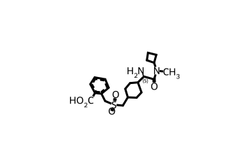 CN(C(=O)[C@@H](N)C1CCC(CS(=O)(=O)Cc2ccccc2C(=O)O)CC1)C1CCC1